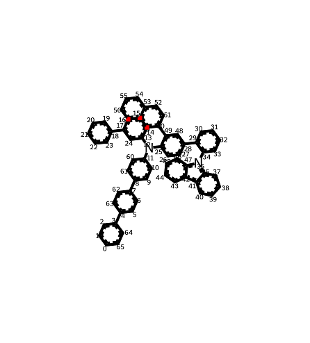 c1ccc(-c2ccc(-c3ccc(N(c4cccc(-c5ccccc5)c4)c4ccc(-c5ccccc5-n5c6ccccc6c6ccccc65)cc4-c4ccc5ccccc5c4)cc3)cc2)cc1